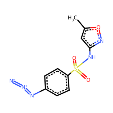 Cc1cc(NS(=O)(=O)c2ccc(N=[N+]=[N-])cc2)no1